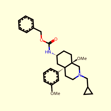 COc1cccc([C@@]23CCN(CC4CC4)C[C@@]2(OC)CC[C@@H](NC(=O)OCc2ccccc2)C3)c1